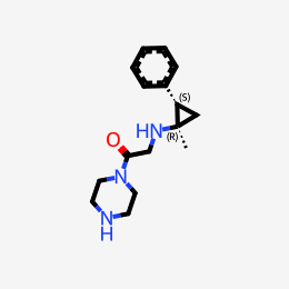 C[C@@]1(NCC(=O)N2CCNCC2)C[C@H]1c1ccccc1